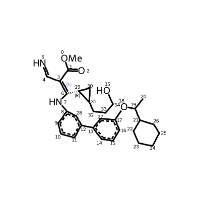 COC(=O)/C(C=N)=C(/Nc1cccc(-c2cccc(OC(C)C3CCCCC3)c2)c1)[C@@H]1CC1CCCO